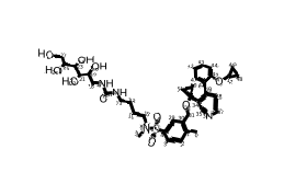 Cc1ccc(S(=O)(=O)N(C)CCCCNC(=O)NCC(O)C(O)C(O)C(O)CO)cc1COC1(c2cnccc2-c2ccccc2OC2CC2)CC1